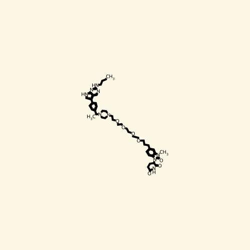 CCCCNc1ncc2c(-c3ccc(C(C)N4CCN(CCOCCOCCOCCOCCCc5ccc6c(c5)n(C)c(=O)n6C5CCC(=O)NC5=O)CC4)cc3)c[nH]c2n1